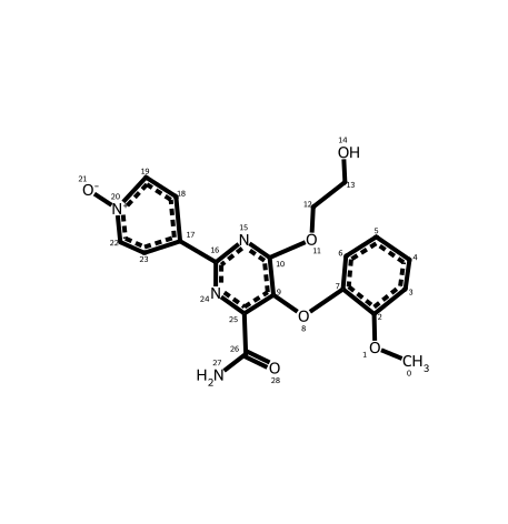 COc1ccccc1Oc1c(OCCO)nc(-c2cc[n+]([O-])cc2)nc1C(N)=O